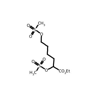 CCOC(=O)C(CCCCOS(C)(=O)=O)OS(C)(=O)=O